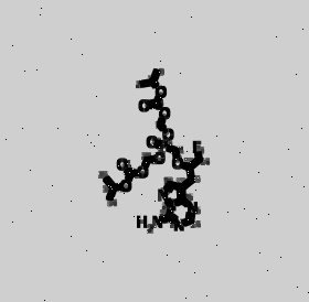 CC(C)OC(=O)OCOP(=O)(COC(CF)Cc1cnn2c(N)ncnc12)OCOC(=O)OC(C)C